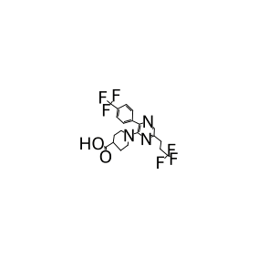 O=C(O)C1CCN(c2nc(CCC(F)(F)F)cnc2-c2ccc(C(F)(F)F)cc2)CC1